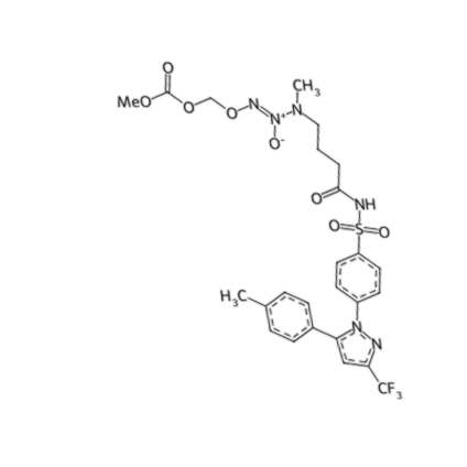 COC(=O)OCO/N=[N+](\[O-])N(C)CCCC(=O)NS(=O)(=O)c1ccc(-n2nc(C(F)(F)F)cc2-c2ccc(C)cc2)cc1